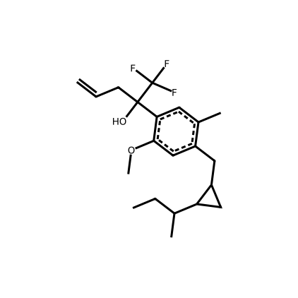 C=CCC(O)(c1cc(C)c(CC2CC2C(C)CC)cc1OC)C(F)(F)F